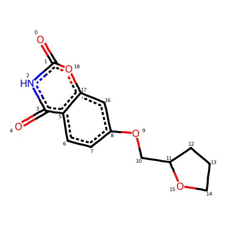 O=c1[nH]c(=O)c2ccc(OCC3CCCO3)cc2o1